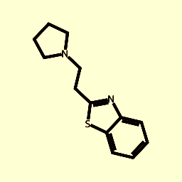 c1ccc2sc(CCN3CCCC3)nc2c1